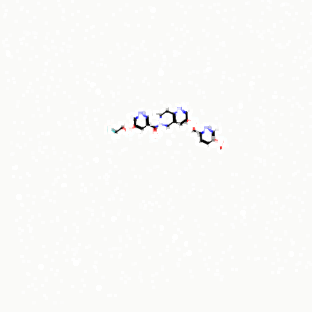 COc1ccc(COc2cnc3c(c2)CN(C(=O)c2cncc(OCCF)c2)CC3)nc1